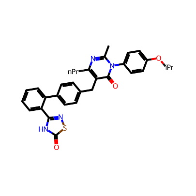 CCCc1nc(C)n(-c2ccc(OC(C)C)cc2)c(=O)c1Cc1ccc(-c2ccccc2-c2nsc(=O)[nH]2)cc1